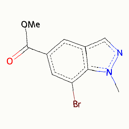 COC(=O)c1cc(Br)c2c(cnn2C)c1